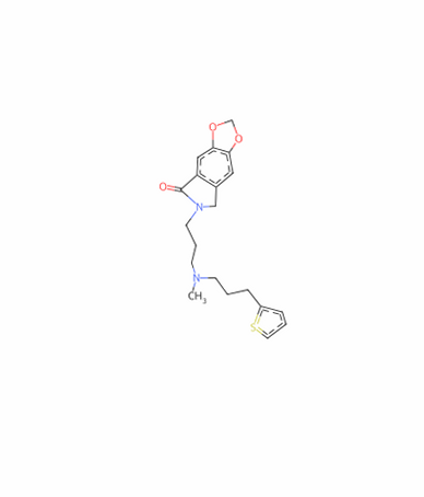 CN(CCCc1cccs1)CCCN1Cc2cc3c(cc2C1=O)OCO3